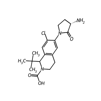 CC(C)(C)C1c2cc(Cl)c(N3CC[C@H](N)C3=O)cc2CCN1C(=O)O